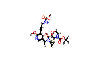 COC(=O)NCC#Cc1cc(C(C)N(C(=O)[C@H]2CN(C(=O)OC(C)(C)C)CCO2)C2CC2)cnc1OC